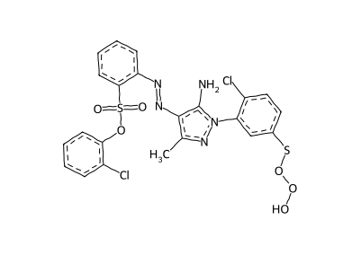 Cc1nn(-c2cc(SOOO)ccc2Cl)c(N)c1N=Nc1ccccc1S(=O)(=O)Oc1ccccc1Cl